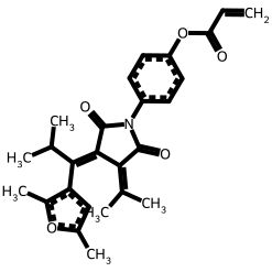 C=CC(=O)Oc1ccc(N2C(=O)C(=C(C)C)/C(=C(\c3cc(C)oc3C)C(C)C)C2=O)cc1